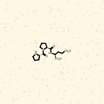 O=C(O)CC[C@H](NC(=O)[C@@H]1CCCN1C(=O)[C@@H]1CCCN1)C(=O)O